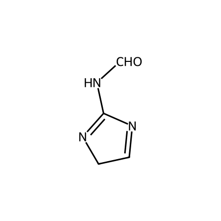 O=CNC1=NCC=N1